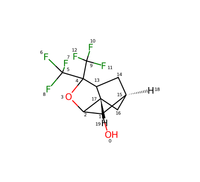 OC1C2OC(C(F)(F)F)(C(F)(F)F)C3C[C@H]1C[C@H]23